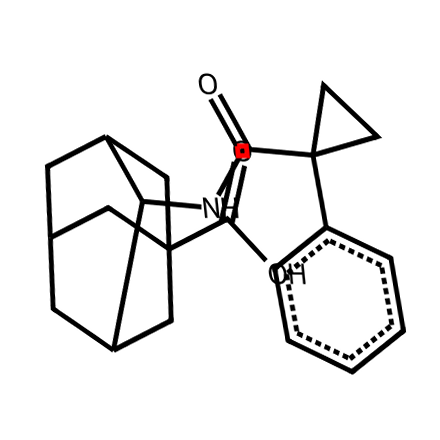 O=C(O)C12CC3CC(C1)C(NC(=O)C1(c4ccccc4)CC1)C(C3)C2